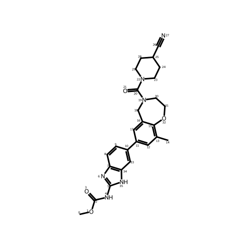 COC(=O)Nc1nc2ccc(-c3cc(C)c4c(c3)CN(C(=O)N3CCC(C#N)CC3)CCO4)cc2[nH]1